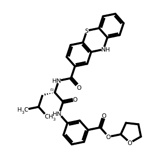 CC(C)C[C@H](NC(=O)c1ccc2c(c1)Nc1ccccc1S2)C(=O)Nc1cccc(C(=O)OC2CCCO2)c1